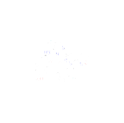 O=CO[C@H](Cc1ccc(O)cc1)Nc1nc(-c2cc(-c3ccon3)n(Cc3ccccc3F)n2)ncc1F